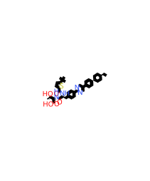 CC[C@H]1CC[C@H](c2ccc(-c3cnc(-c4ccc(C[C@H](NC(=O)c5ccc(C(C)(C)C)s5)C(=O)N[C@H](C(=O)O)[C@@H](C)O)cc4)nc3)cc2)CC1